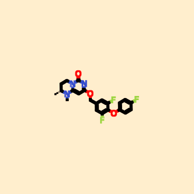 C[C@@H]1CCn2c(cc(OCc3cc(F)c(Oc4ccc(F)cc4)c(F)c3)nc2=O)N1C